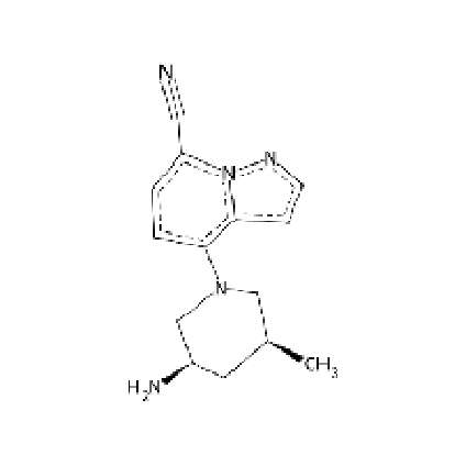 C[C@H]1C[C@@H](N)CN(c2ccc(C#N)n3nccc23)C1